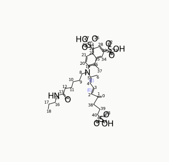 C=C(/C=C/C=C(\C)N(CCCCCC(=O)NCCC)c1ccc2c(S(=O)(=O)O)cc(S(=O)(=O)O)cc2c1C)CCCS(=O)(=O)O